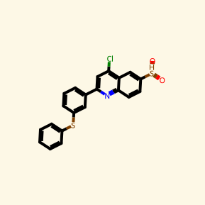 O=[SH](=O)c1ccc2nc(-c3cccc(Sc4ccccc4)c3)cc(Cl)c2c1